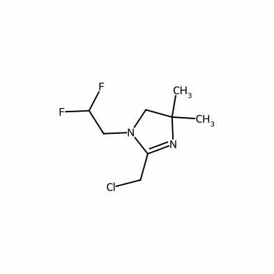 CC1(C)CN(CC(F)F)C(CCl)=N1